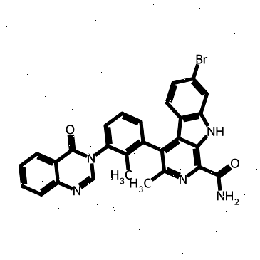 Cc1nc(C(N)=O)c2[nH]c3cc(Br)ccc3c2c1-c1cccc(-n2cnc3ccccc3c2=O)c1C